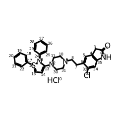 Cl.O=C1Cc2cc(CCN3CCN(C4=CC=S(c5ccccc5)N4c4ccccc4)CC3)c(Cl)cc2N1